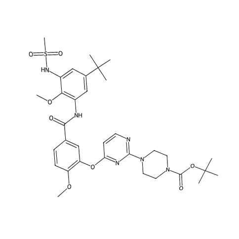 COc1ccc(C(=O)Nc2cc(C(C)(C)C)cc(NS(C)(=O)=O)c2OC)cc1Oc1ccnc(N2CCN(C(=O)OC(C)(C)C)CC2)n1